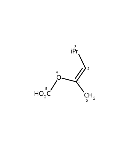 CC(=CC(C)C)OC(=O)O